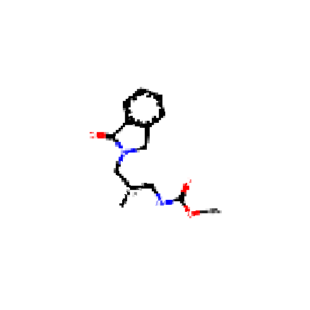 C[C@H](CNC(=O)OC(C)(C)C)CN1Cc2ccccc2C1=O